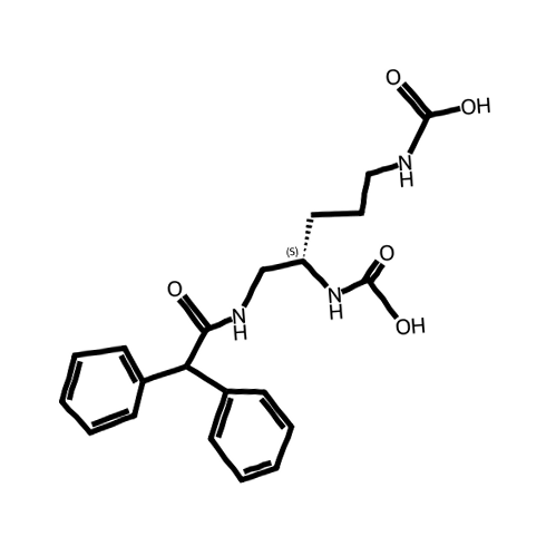 O=C(O)NCCC[C@@H](CNC(=O)C(c1ccccc1)c1ccccc1)NC(=O)O